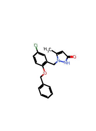 Cc1cc(=O)[nH]n1Cc1cc(Cl)ccc1OCc1ccccc1